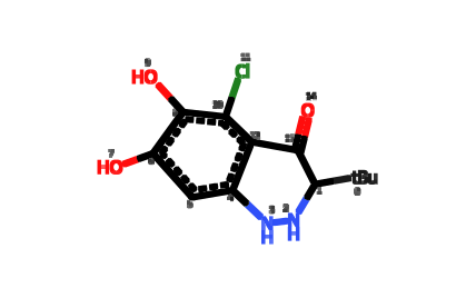 CC(C)(C)C1NNc2cc(O)c(O)c(Cl)c2C1=O